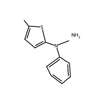 Cc1ccc(N(C)c2ccccc2)s1.N